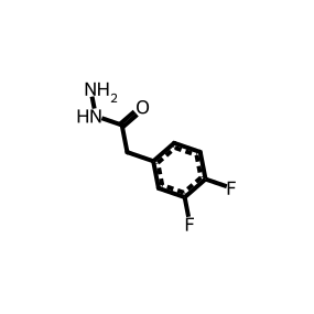 NNC(=O)Cc1ccc(F)c(F)c1